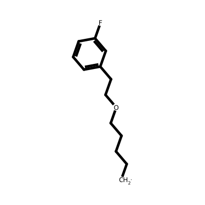 [CH2]CCCCOCCc1cccc(F)c1